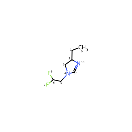 CCC1[CH]N(CC(F)F)[C]=N1